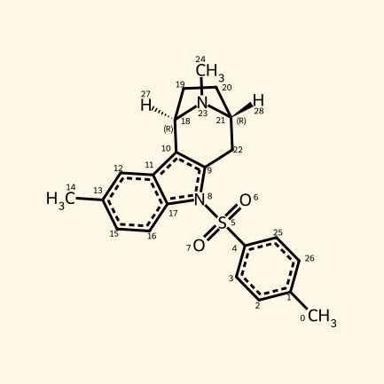 Cc1ccc(S(=O)(=O)n2c3c(c4cc(C)ccc42)[C@H]2CC[C@H](C3)N2C)cc1